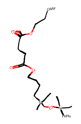 CCCC[Si](C)(C)O[Si](C)(C)CCCOC(=O)CCC(=O)OCCOC